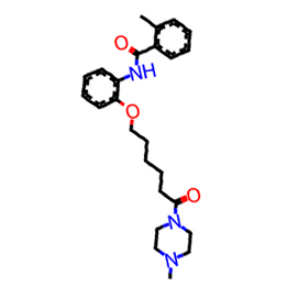 Cc1ccccc1C(=O)Nc1ccccc1OCCCCCC(=O)N1CCN(C)CC1